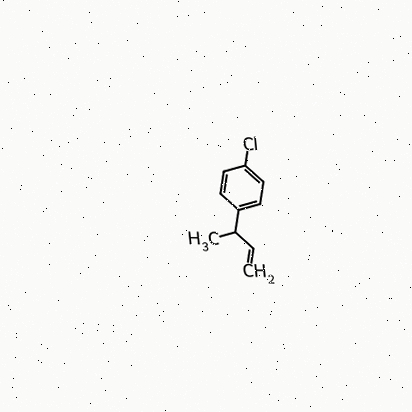 C=CC(C)c1ccc(Cl)cc1